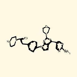 Nc1ncc(-c2nc(N3CCOCC3)nc3c2ccn3-c2ccc(CC(=O)N3CCNCC3)cc2)cn1